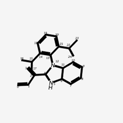 C=CC(=C)C1NC2C=CC=CC2N1c1c(C(C)C)cccc1C(C)C